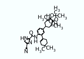 CC1(C)CC=C(c2cc(C3C[C@@]4(C)O[C@@](C)(C3)[C@@H]3OC(C)(C)O[C@@H]34)ccc2NC(=O)c2nc(C#N)c[nH]2)CC1